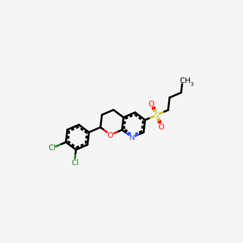 CCCCS(=O)(=O)c1cnc2c(c1)CCC(c1ccc(Cl)c(Cl)c1)O2